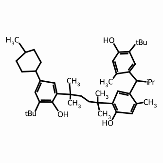 Cc1cc(O)c(C(C)(C)C)cc1C(c1cc(C(C)(C)CCC(C)(C)c2cc(C3CCC(C)CC3)cc(C(C)(C)C)c2O)c(O)cc1C)C(C)C